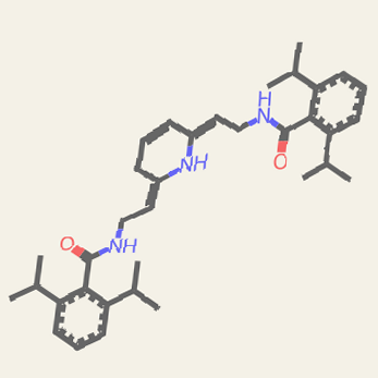 CC(C)c1cccc(C(C)C)c1C(=O)NCC=C1C=CCC(=CCNC(=O)c2c(C(C)C)cccc2C(C)C)N1